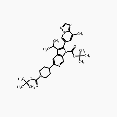 Cc1cc(-c2c(C(C)C)c3cc(C4CCN(C(=O)OC(C)(C)C)CC4)ncc3n2C(=O)OC(C)(C)C)cn2ncnc12